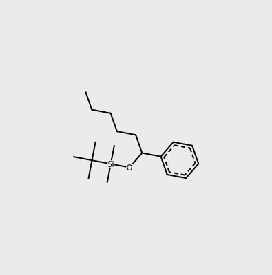 CCCCCC(O[Si](C)(C)C(C)(C)C)c1ccccc1